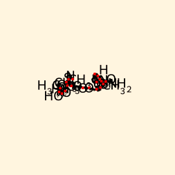 Cc1ncsc1-c1ccc(CNC(=O)[C@@H]2C[C@@H](O)CN2C(=O)CC(C)(C)C)c(OCCOCCOCCOCCCc2ccc(CO[C@H](C)[C@H](CCC(N)=O)NC(=O)[C@@H]3Cc4cccc5c4N3C(=O)CCC5)cc2)c1